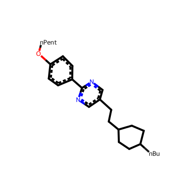 CCCCCOc1ccc(-c2ncc(CCC3CCC(CCCC)CC3)cn2)cc1